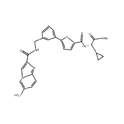 CNC(=O)[C@@H](NC(=O)c1ccc(-c2cccc(CNC(=O)c3cn4cc(C(=O)O)ccc4n3)c2)o1)C1CC1